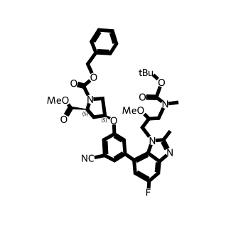 COC(=O)[C@@H]1C[C@H](Oc2cc(C#N)cc(-c3cc(F)cc4nc(C)n(CC(CN(C)C(=O)OC(C)(C)C)OC)c34)c2)CN1C(=O)OCc1ccccc1